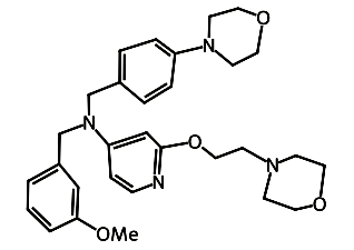 COc1cccc(CN(Cc2ccc(N3CCOCC3)cc2)c2ccnc(OCCN3CCOCC3)c2)c1